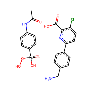 CC(=O)Nc1ccc([As](=O)(O)OO)cc1.NCc1ccc(-c2ccc(Cl)c(C(=O)O)n2)cc1